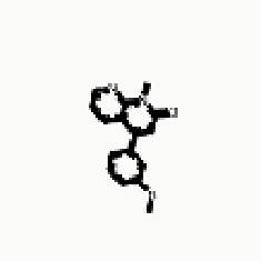 COc1cccc(-c2cc(=O)n(C)c3ncccc23)c1